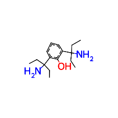 CCC(N)(CC)c1cccc(C(N)(CC)CC)c1O